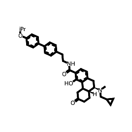 CC(C)Oc1ccc(-c2ccc(CCNC(=O)c3ccc4c(c3O)C3CC(=O)CC[C@H]3[C@H](N(C)CC3CC3)C4)cc2)cc1